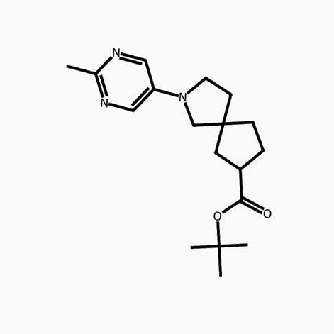 Cc1ncc(N2CCC3(CCC(C(=O)OC(C)(C)C)C3)C2)cn1